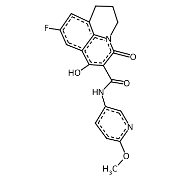 COc1ccc(NC(=O)c2c(O)c3cc(F)cc4c3n(c2=O)CCC4)cn1